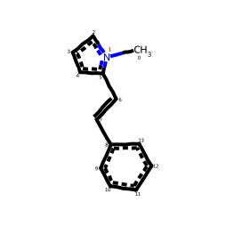 Cn1cccc1/C=C/c1ccccc1